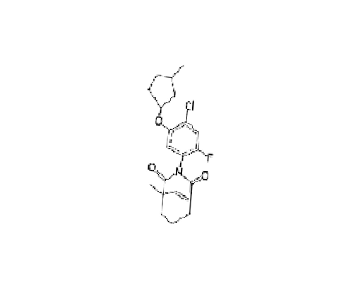 CC1CCC(Oc2cc(N3C(=O)C4=CC(C)(CCC4)C3=O)c(F)cc2Cl)C1